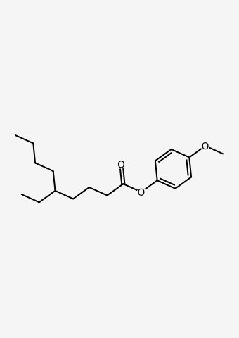 CCCCC(CC)CCCC(=O)Oc1ccc(OC)cc1